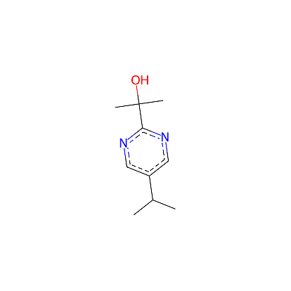 CC(C)c1cnc(C(C)(C)O)nc1